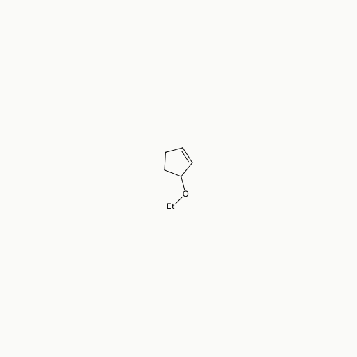 CCOC1C=CCC1